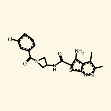 Cc1nnc2sc(C(=O)NC3CN(C(=O)c4cccc(Cl)c4)C3)c(N)c2c1C